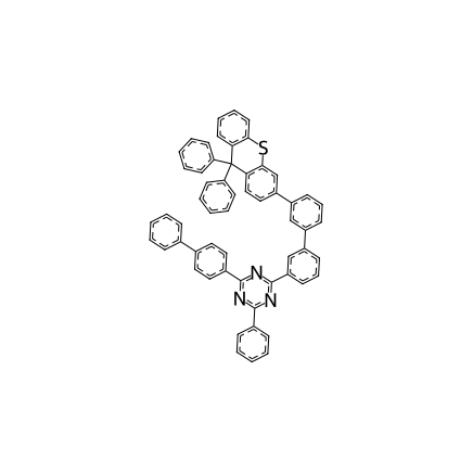 c1ccc(-c2ccc(-c3nc(-c4ccccc4)nc(-c4cccc(-c5cccc(-c6ccc7c(c6)Sc6ccccc6C7(c6ccccc6)c6ccccc6)c5)c4)n3)cc2)cc1